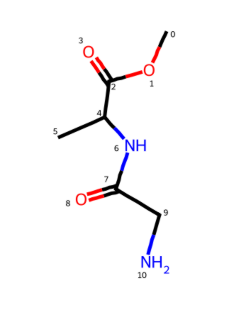 COC(=O)C(C)NC(=O)CN